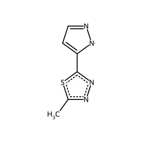 Cc1nnc(C2=CC=N[N]2)s1